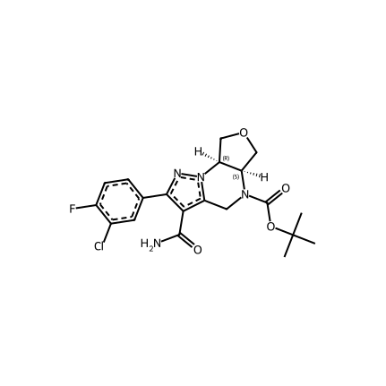 CC(C)(C)OC(=O)N1Cc2c(C(N)=O)c(-c3ccc(F)c(Cl)c3)nn2[C@H]2COC[C@H]21